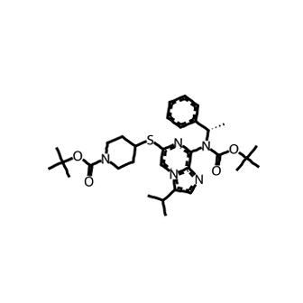 CC(C)c1cnc2c(N(C(=O)OC(C)(C)C)[C@@H](C)c3ccccc3)nc(SC3CCN(C(=O)OC(C)(C)C)CC3)cn12